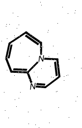 C1=CC=C2N=CC=CN2C=C1